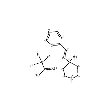 O=C(O)C(F)(F)F.OC1(/C=C/c2ccncc2)CCNCC1